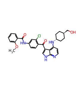 COc1ccccc1C(=O)Nc1ccc(C(=O)c2c[nH]c3nccc(N[C@H]4CC[C@H](CO)CC4)c23)c(Cl)c1